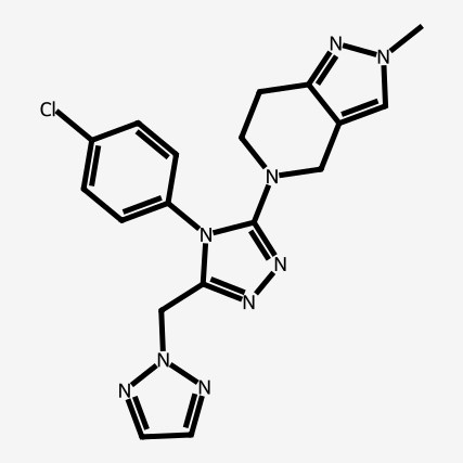 Cn1cc2c(n1)CCN(c1nnc(Cn3nccn3)n1-c1ccc(Cl)cc1)C2